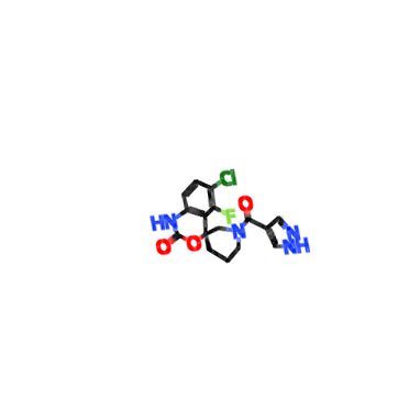 O=C1Nc2ccc(Cl)c(F)c2[C@@]2(CCCN(C(=O)c3cn[nH]c3)C2)O1